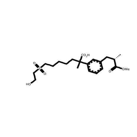 COC(=O)[C@@H](C)Cc1cccc(C(C)(CCCCCS(=O)(=O)CCO)C(=O)O)c1